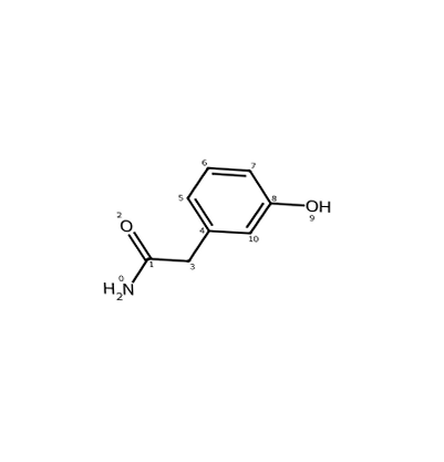 NC(=O)Cc1cccc(O)c1